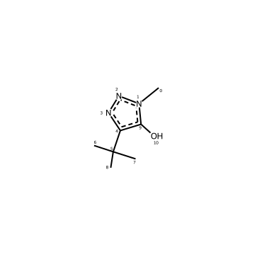 Cn1nnc(C(C)(C)C)c1O